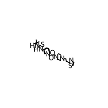 CC(C)(C)NC(=S)Nc1ccc(OC(=O)N2CCN(CCc3nccs3)CC2)nc1